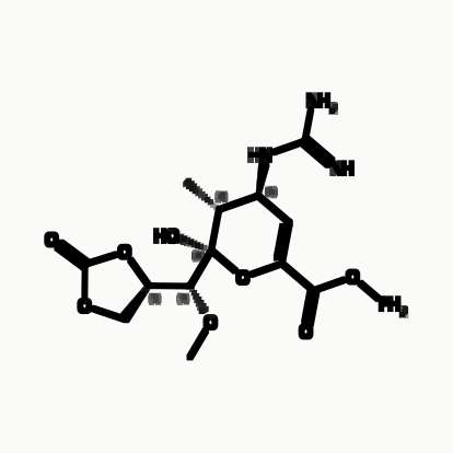 CO[C@H]([C@H]1COC(=O)O1)[C@]1(O)OC(C(=O)OP)=C[C@H](NC(=N)N)[C@H]1C